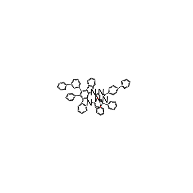 c1ccc(-c2ccc(-c3nc(-c4ccccc4)nc(-n4c5ccccc5c5c(-c6cccc(-c7ccccc7)c6)c(-c6ccccc6)c6c7ccccc7n(-c7ccc(-c8ccccc8)cc7)c6c54)n3)cc2)cc1